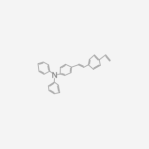 C=Cc1ccc(/C=C/c2ccc(N(c3ccccc3)c3ccccc3)cc2)cc1